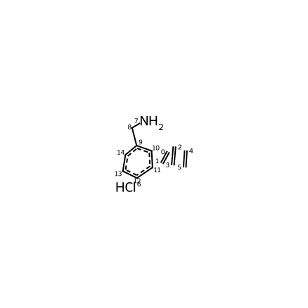 C=C.C=C.C=C.Cl.NCc1ccccc1